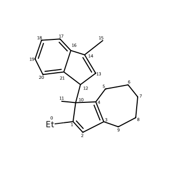 CCC1=CC2=C(CCCCC2)C1(C)C1C=C(C)c2ccccc21